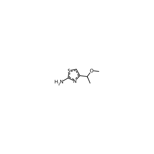 CO[C](C)c1csc(N)n1